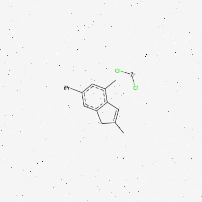 CC1=Cc2c(C)cc(C(C)C)cc2[CH]1.[Cl][Zr][Cl]